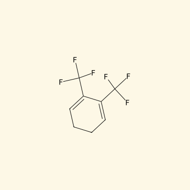 FC(F)(F)C1=CCCC=C1C(F)(F)F